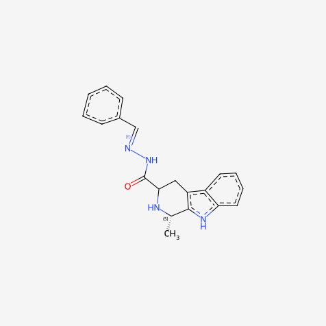 C[C@@H]1NC(C(=O)N/N=C/c2ccccc2)Cc2c1[nH]c1ccccc21